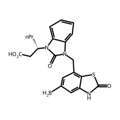 Bc1cc(Cn2c(=O)n([C@@H](CCC)CC(=O)O)c3ccccc32)c2sc(=O)[nH]c2c1